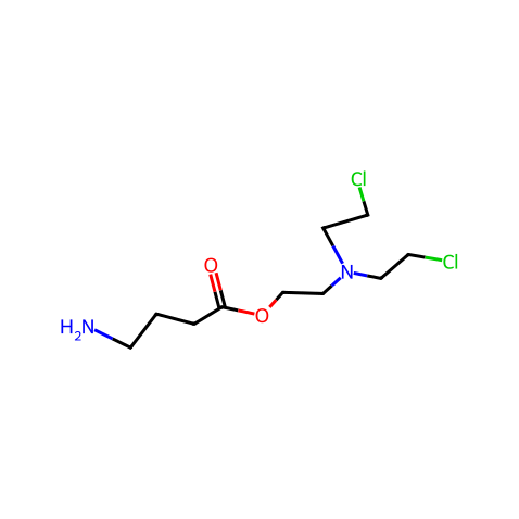 NCCCC(=O)OCCN(CCCl)CCCl